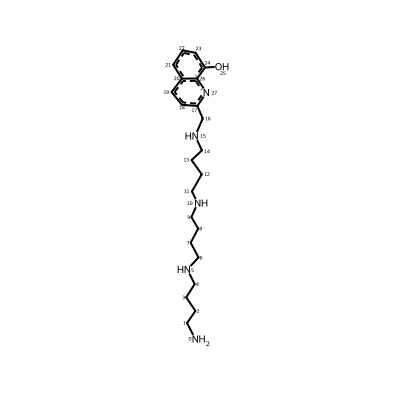 NCCCCNCCCCNCCCCNCc1ccc2cccc(O)c2n1